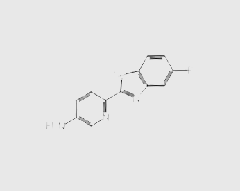 Nc1ccc(-c2nc3cc(F)ccc3[se]2)nc1